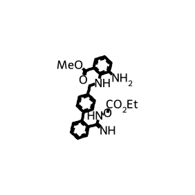 CCOC(=O)ONC(=N)c1ccccc1-c1ccc(CNc2c(N)cccc2C(=O)OC)cc1